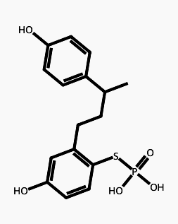 CC(CCc1cc(O)ccc1SP(=O)(O)O)c1ccc(O)cc1